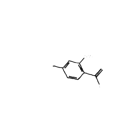 C=C(CC)c1ccc(C)cc1NC